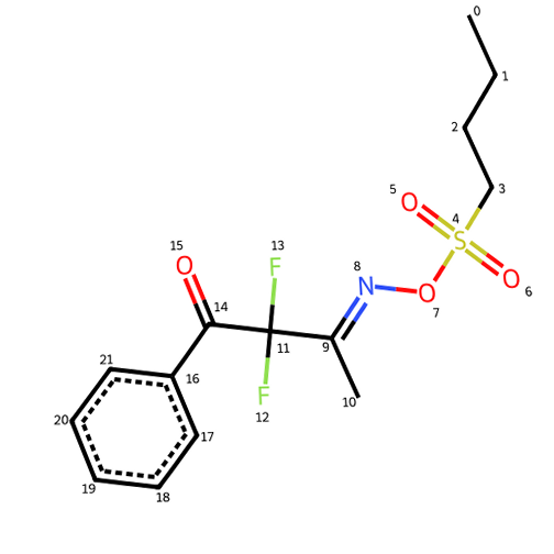 CCCCS(=O)(=O)ON=C(C)C(F)(F)C(=O)c1ccccc1